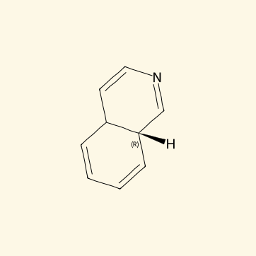 C1=CC2C=CN=C[C@@H]2C=C1